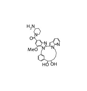 COc1cc(C(=O)N2CCC[C@@H](N)C2)cc2nc3n(c12)Cc1cccc(c1)[C@H](O)[C@H](O)CCCCn1c-3cc2cccnc21